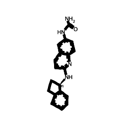 NC(=O)Nc1ccc2nc(N[C@@H]3CCc4ccccc43)ccc2c1